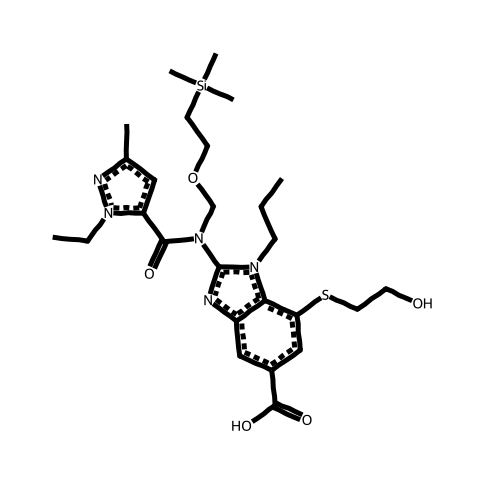 CCCn1c(N(COCC[Si](C)(C)C)C(=O)c2cc(C)nn2CC)nc2cc(C(=O)O)cc(SCCO)c21